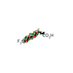 C=C(CCC(F)(F)OC(F)(F)C(F)(F)OC(F)(F)C(F)(F)OC(F)(F)C(F)(F)OC(F)(F)C(F)(F)F)C(=O)O